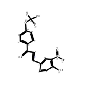 O=C(/C=C/c1ccc(O)c([N+](=O)[O-])c1)c1ccc(OC(F)(F)F)cc1